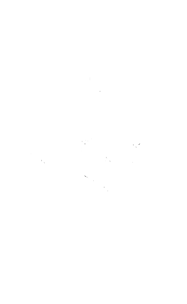 CCO[C@@H]1C[C@@H]2CN(C(=O)[C@@H](NC(=O)[C@@H](C)CN(C(=O)O)C(C)(C)C)C3CCC(F)(F)CC3)[C@H](C(=O)N[C@@H]3CCOc4ccccc43)CN2C1